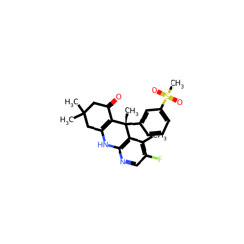 Cc1c(F)cnc2c1[C@@](C)(c1cccc(S(C)(=O)=O)c1)C1=C(CC(C)(C)CC1=O)N2